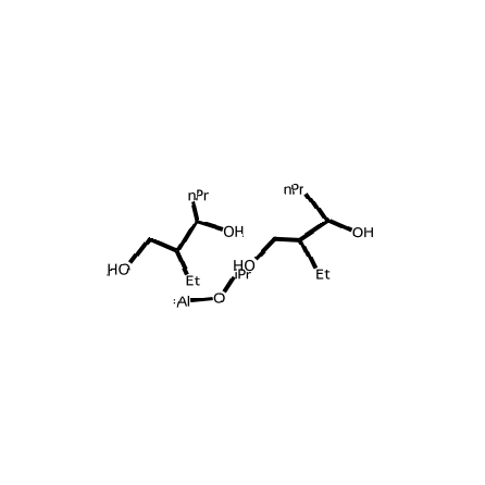 CC(C)[O][Al].CCCC(O)C(CC)CO.CCCC(O)C(CC)CO